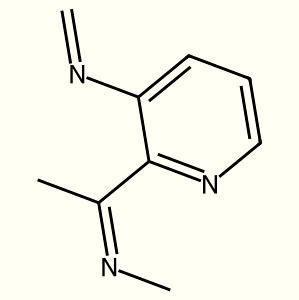 C=Nc1cccnc1/C(C)=N\C